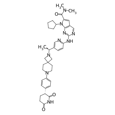 C[C@@H](c1ccc(Nc2ncc3cc(C(=O)N(C)C)n(C4CCCC4)c3n2)nc1)N1CC2(CCN(c3ccc([C@H]4CCC(=O)NC4=O)cc3)CC2)C1